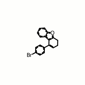 Brc1ccc(C2=CCCc3oc4ccccc4c32)cc1